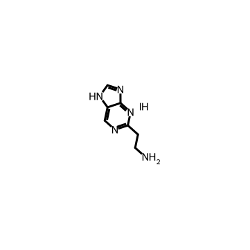 I.NCCc1ncc2[nH]cnc2n1